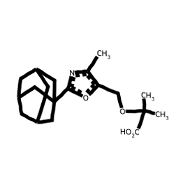 Cc1nc(C23CC4CC(CC(C4)C2)C3)oc1COC(C)(C)C(=O)O